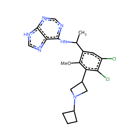 COc1c(C(C)Nc2ncnc3[nH]cnc23)cc(Cl)c(Cl)c1C1CN(C2CCC2)C1